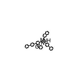 c1ccc(-c2ccc(-c3ccc(C4=NC(c5ccc(-c6ccccc6)cc5)NC(c5ccc6ccccc6c5)=N4)c4c3oc3ccccc34)cc2)cc1